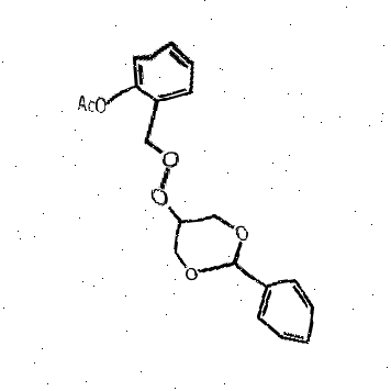 CC(=O)Oc1ccccc1COOC1COC(c2ccccc2)OC1